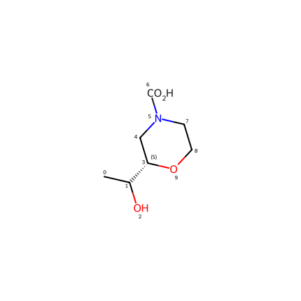 CC(O)[C@@H]1CN(C(=O)O)CCO1